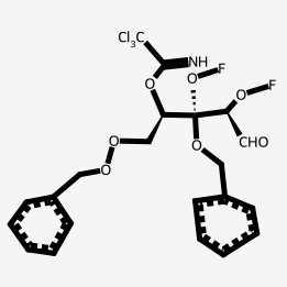 N=C(O[C@H](COOCc1ccccc1)[C@](OF)(OCc1ccccc1)[C@H](C=O)OF)C(Cl)(Cl)Cl